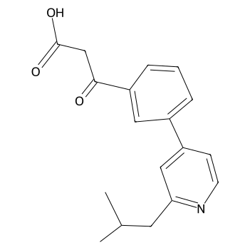 CC(C)Cc1cc(-c2cccc(C(=O)CC(=O)O)c2)ccn1